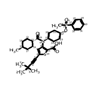 CC(C)(C)C#Cc1cc(N(C(=O)[C@H]2CC[C@H](C)CC2)[C@H]2CC[C@H](OP(C)(=O)c3ccccc3)CC2)c(C(=O)O)s1